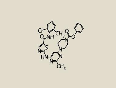 Cc1nc(Nc2ncc(C(=O)Nc3c(C)cccc3Cl)s2)cc(N2CCN(C(=O)Oc3ccccc3)CC2)n1